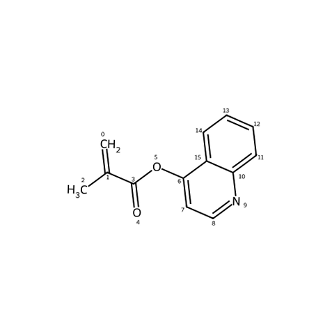 C=C(C)C(=O)Oc1ccnc2ccccc12